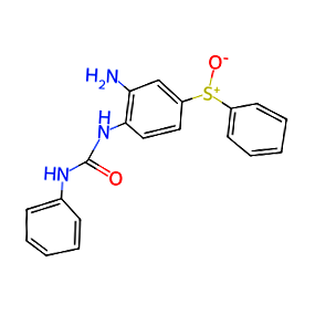 Nc1cc([S+]([O-])c2ccccc2)ccc1NC(=O)Nc1ccccc1